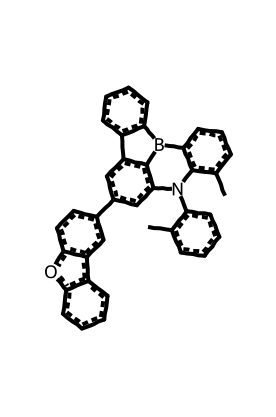 Cc1ccccc1N1c2cc(-c3ccc4oc5ccccc5c4c3)cc3c2B(c2ccccc2-3)c2cccc(C)c21